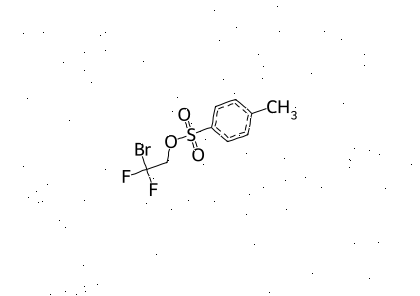 Cc1ccc(S(=O)(=O)OCC(F)(F)Br)cc1